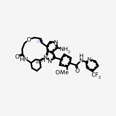 COc1cc(-c2nn3c4c(cnc(N)c24)/C=C/COCCC(=O)NC2CCC[C@@H]3C2)ccc1C(=O)Nc1cc(C(F)(F)F)ccn1